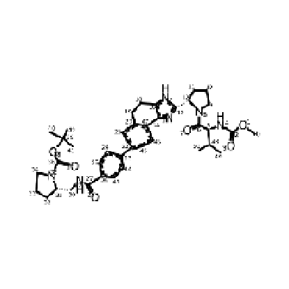 COC(=O)N[C@H](C(=O)N1CCC[C@H]1c1nc2c([nH]1)CCc1cc(-c3ccc(C(=O)NC[C@@H]4CCCN4C(=O)OC(C)(C)C)cc3)ccc1-2)C(C)C